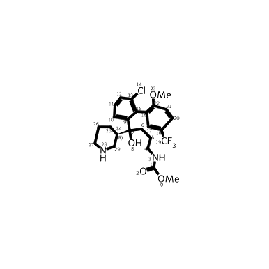 COC(=O)NCCCC(O)(c1cccc(Cl)c1-c1cc(C(F)(F)F)ccc1OC)[C@@H]1CCCNC1